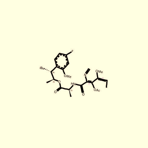 C=N/C(C(=O)N[C@@H](C)C(=O)O[C@@H](C)[C@@H](c1ccc(F)cc1OC)C(C)CC)=C(OC(C)=O)\C(=C/C)OC